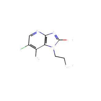 CC(=O)NCCn1c(O)nc2ncc(Cl)c(C#N)c21